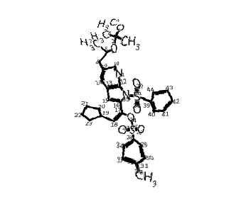 COC(C)(C)OC(C)Cc1cnc2c(c1)cc(C(=CC1CCCC1)OS(=O)(=O)c1ccc(C)cc1)n2S(=O)(=O)c1ccccc1